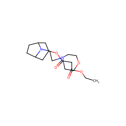 CCOC(=O)CC(=O)OC1CC2CCC(C1)N2CCN1CCOCC1